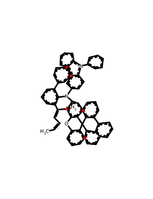 C=C/C(=C\C=C/C)c1cccc(-c2ccccc2)c1N(c1ccc2c(c1)Oc1ccccc1C21c2ccccc2-c2cccc3cccc1c23)c1ccc2c(c1)c1ccccc1n2-c1ccccc1